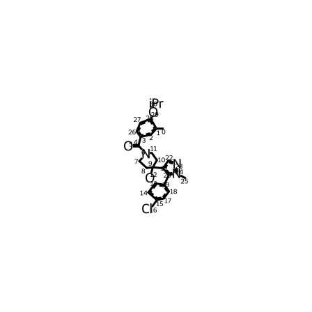 Cc1cc(C(=O)N2CCC3(CC2)Oc2cc(Cl)ccc2-c2c3cnn2C)ccc1OC(C)C